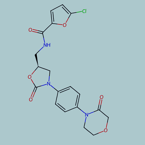 O=C(NC[C@H]1CN(c2ccc(N3CCOCC3=O)cc2)C(=O)O1)c1ccc(Cl)o1